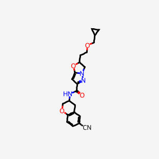 N#Cc1ccc2c(c1)CC(NC(=O)c1cc3n(n1)CC(CCOCC1CC1)O3)CO2